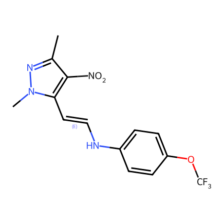 Cc1nn(C)c(/C=C/Nc2ccc(OC(F)(F)F)cc2)c1[N+](=O)[O-]